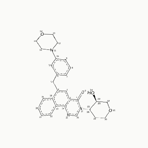 O=c1c2cc(Cc3cccc(N4CCOCC4)c3)c3ccccc3c2ncn1[C@H]1CCOC[C@@H]1O